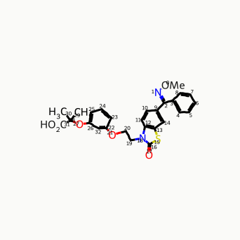 CO/N=C(\c1ccccc1)c1ccc2c(c1)sc(=O)n2CCOc1cccc(OC(C)(C)C(=O)O)c1